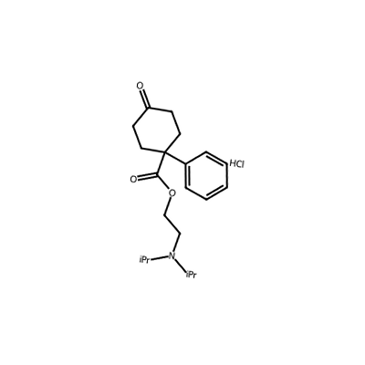 CC(C)N(CCOC(=O)C1(c2ccccc2)CCC(=O)CC1)C(C)C.Cl